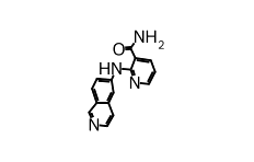 NC(=O)c1cccnc1Nc1ccc2cnccc2c1